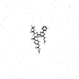 CCOC(=O)ON1CCN(C(=O)[C@H](CCC(=O)OC(C)(C)C)NC(=O)c2cc(CSCC)nc(-c3ccccc3)n2)CC1